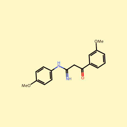 COc1ccc(NC(=N)CC(=O)c2cccc(OC)c2)cc1